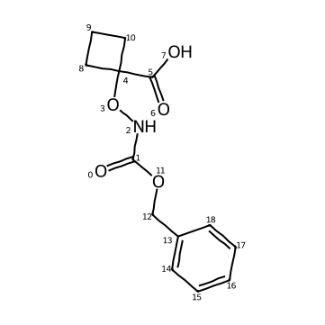 O=C(NOC1(C(=O)O)CCC1)OCc1ccccc1